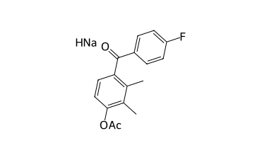 CC(=O)Oc1ccc(C(=O)c2ccc(F)cc2)c(C)c1C.[NaH]